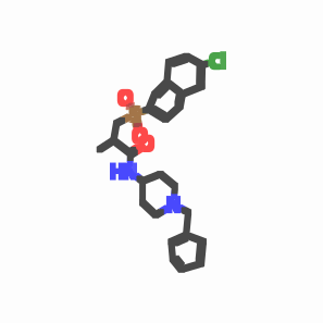 CC(CS(=O)(=O)c1ccc2cc(Cl)ccc2c1)C(=O)NC1CCN(Cc2ccccc2)CC1